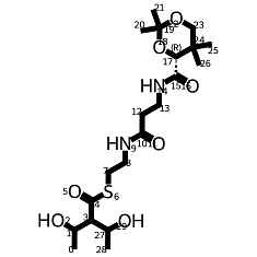 CC(O)C(C(=O)SCCNC(=O)CCNC(=O)[C@@H]1OC(C)(C)OCC1(C)C)C(C)O